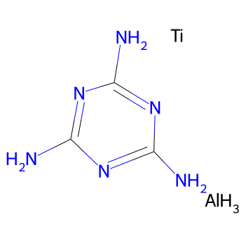 Nc1nc(N)nc(N)n1.[AlH3].[Ti]